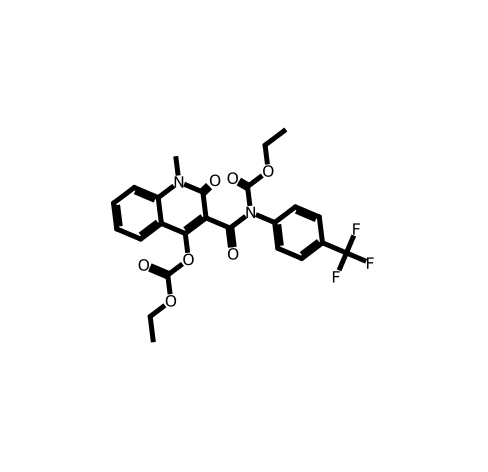 CCOC(=O)Oc1c(C(=O)N(C(=O)OCC)c2ccc(C(F)(F)F)cc2)c(=O)n(C)c2ccccc12